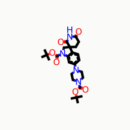 CC(C)(C)OC(=O)N1CCN(c2ccc3c(c2)N(C(=O)OC(C)(C)C)CC32CCC(=O)NC2=O)CC1